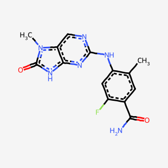 Cc1cc(C(N)=O)c(F)cc1Nc1ncc2c(n1)[nH]c(=O)n2C